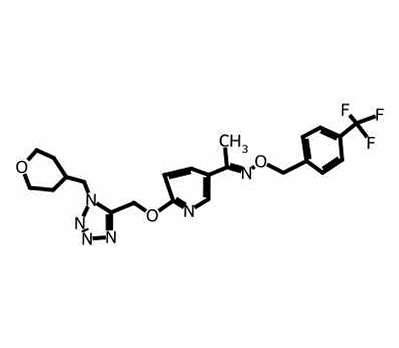 C/C(=N\OCc1ccc(C(F)(F)F)cc1)c1ccc(OCc2nnnn2CC2CCOCC2)nc1